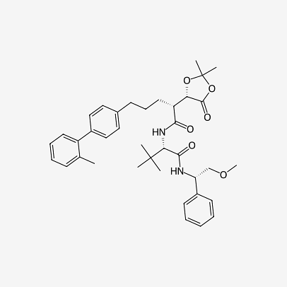 COC[C@@H](NC(=O)[C@@H](NC(=O)[C@H](CCCc1ccc(-c2ccccc2C)cc1)[C@@H]1OC(C)(C)OC1=O)C(C)(C)C)c1ccccc1